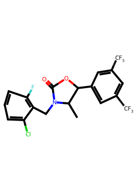 CC1C(c2cc(C(F)(F)F)cc(C(F)(F)F)c2)OC(=O)N1Cc1c(F)cccc1Cl